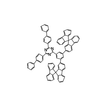 c1ccc(-c2ccc(-c3nc(-c4ccc(-c5ccccc5)cc4)nc(-c4cc(-c5ccc6c(c5)C5(c7ccccc7-c7ccccc75)c5ccccc5-6)cc(-c5ccc6c(c5)C5(c7ccccc7-c7ccccc75)c5ccccc5-6)c4)n3)cc2)cc1